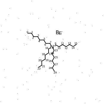 CCCCCCCC[N+](CCCCCCC)(CCCCCCC)CCCCCCC.[Br-]